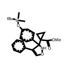 COC(=O)C1(C2(c3ccc(O[Si](C)(C)C(C)(C)C)cc3)NOC=C2c2ccccc2)CC1